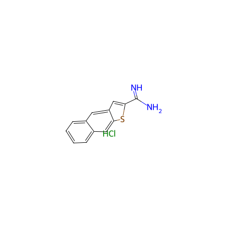 Cl.N=C(N)c1cc2cc3ccccc3cc2s1